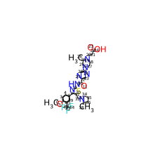 COc1ccc(-c2nc(NC(=O)c3cnc(N4CCN(CCC(=O)O)[C@@H](C)C4)cn3)sc2CN2CCC[C@H]2C)cc1C(F)(F)F